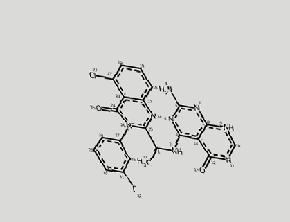 CC(Nc1nc(N)nc2[nH]cnc(=O)c12)c1nc2cccc(Cl)c2c(=O)n1-c1cccc(F)c1